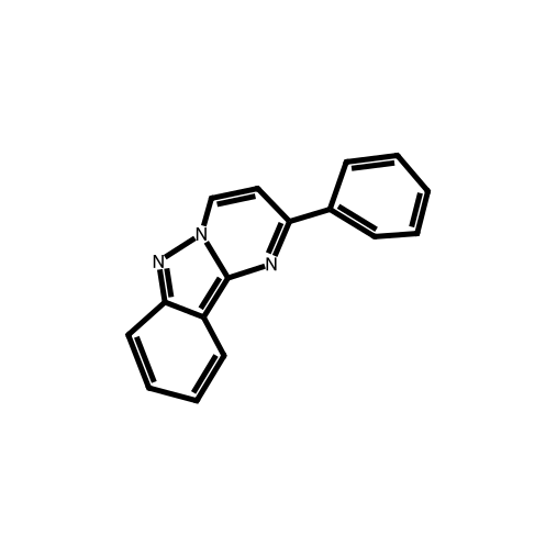 c1ccc(-c2ccn3nc4ccccc4c3n2)cc1